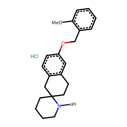 CCCN1CCCCC12CCc1cc(OCc3ccccc3OC)ccc1C2.Cl